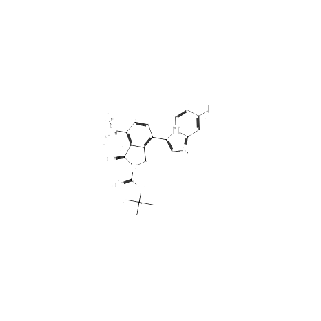 CC(C)(C)OC(=O)N1Cc2c(-c3cnc4cc(F)ccn34)ccc([N+](=O)[O-])c2C1=O